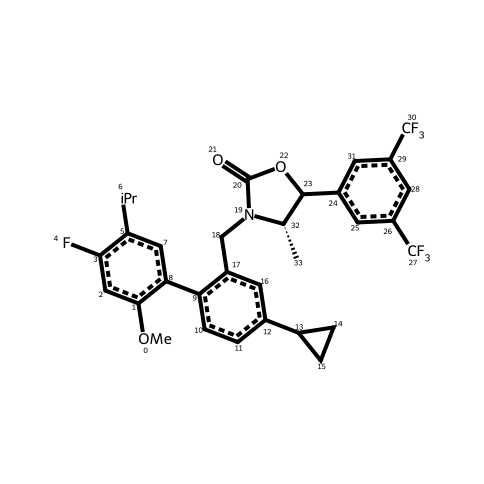 COc1cc(F)c(C(C)C)cc1-c1ccc(C2CC2)cc1CN1C(=O)OC(c2cc(C(F)(F)F)cc(C(F)(F)F)c2)[C@@H]1C